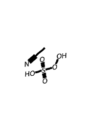 CC#N.O=S(=O)(O)OO